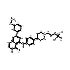 COc1cncc(-c2cc3cc[nH]c(=O)c3c(Nc3ccc(C4CCN(CCCC(F)(F)F)CC4)cc3)n2)n1